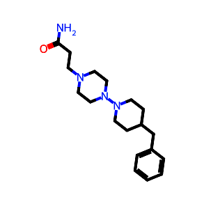 NC(=O)CCN1CCN(N2CCC(Cc3ccccc3)CC2)CC1